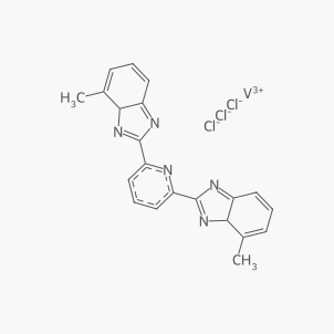 CC1=CC=CC2=NC(c3cccc(C4=NC5C(C)=CC=CC5=N4)n3)=NC12.[Cl-].[Cl-].[Cl-].[V+3]